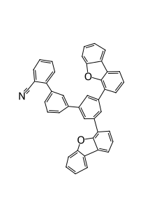 N#Cc1ccccc1-c1cccc(-c2cc(-c3cccc4c3oc3ccccc34)cc(-c3cccc4c3oc3ccccc34)c2)c1